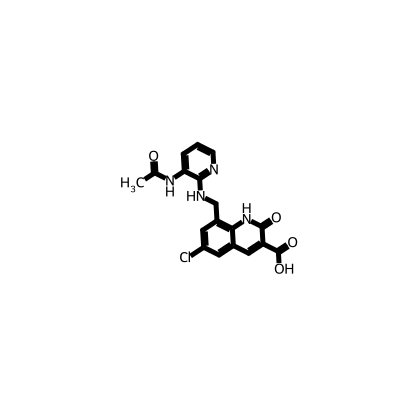 CC(=O)Nc1cccnc1NCc1cc(Cl)cc2cc(C(=O)O)c(=O)[nH]c12